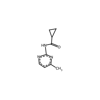 Cc1ccnc(NC(=O)C2CC2)n1